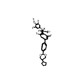 FOc1c(F)cc(OC(F)(F)c2c(F)cc(-c3ccc(C4OCC(C5CCCC5)CO4)cc3)cc2F)cc1F